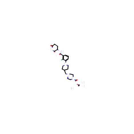 CC(C)(C)OC(=O)N1CCN(CC2CCN(c3cccc(C(=O)NC4CCC(=O)NC4=O)c3F)CC2)CC1